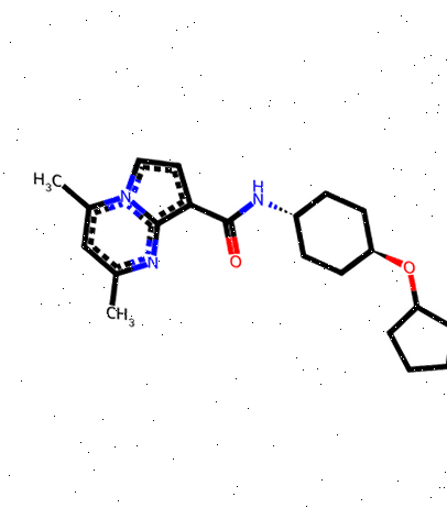 Cc1cc(C)n2ccc(C(=O)N[C@H]3CC[C@H](OC4CCCC4)CC3)c2n1